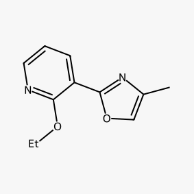 CCOc1ncccc1-c1nc(C)co1